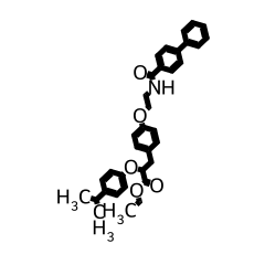 CCOC(=O)C(Cc1ccc(OCCNC(=O)c2ccc(-c3ccccc3)cc2)cc1)Oc1ccc(C(C)C)cc1